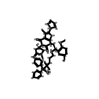 COc1ccc(F)cc1[C@H](Cn1c(=O)n([C@]2(C)CC(=O)N(C)C2)c(=O)c2c(C)c(-n3nccn3)sc21)OCCCC(C)(C)[Si](O)(c1ccccc1)c1ccccc1